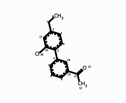 CCc1ccc(-c2cccc(C(C)=O)c2)c(Cl)c1